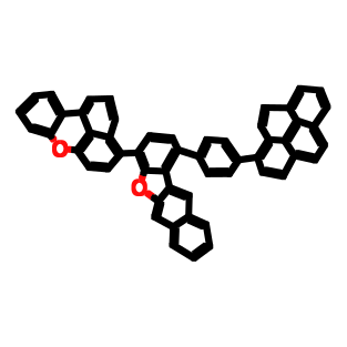 c1ccc2c(c1)Oc1ccc(-c3ccc(-c4ccc(-c5ccc6ccc7cccc8ccc5c6c78)cc4)c4c3oc3cc5ccccc5cc34)c3cccc-2c13